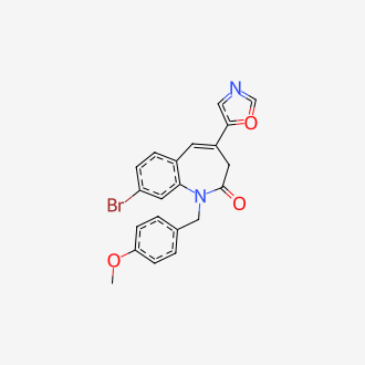 COc1ccc(CN2C(=O)CC(c3cnco3)=Cc3ccc(Br)cc32)cc1